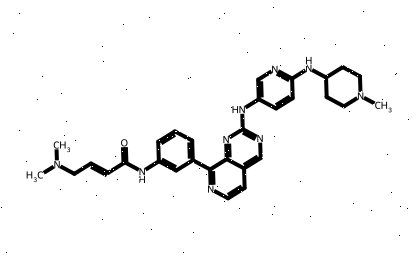 CN(C)C/C=C/C(=O)Nc1cccc(-c2nccc3cnc(Nc4ccc(NC5CCN(C)CC5)nc4)nc23)c1